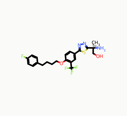 C[C@](N)(CO)c1nnc(-c2ccc(OCCCCc3ccc(F)cc3)c(C(F)(F)F)c2)s1